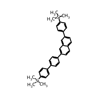 C[Si](C)(C)c1ccc(-c2ccc(-c3ccc4ccc(-c5ccc([Si](C)(C)C)cc5)cc4c3)cc2)cc1